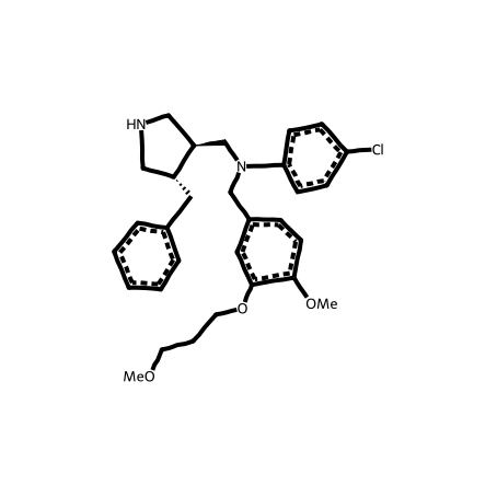 COCCCOc1cc(CN(C[C@@H]2CNC[C@H]2Cc2ccccc2)c2ccc(Cl)cc2)ccc1OC